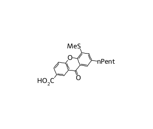 CCCCCc1cc(SC)c2oc3ccc(C(=O)O)cc3c(=O)c2c1